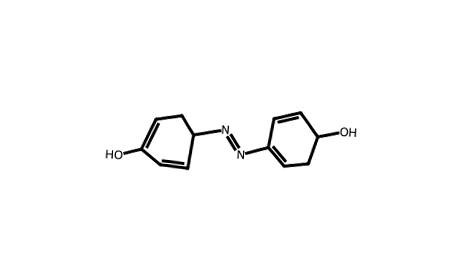 OC1=CCC(/N=N/C2=CCC(O)C=C2)C=C1